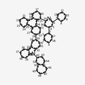 c1ccc(-c2cc(-c3ccccc3)nc(-c3cccc4c5ccccc5c5cc(-c6ccc7c(c6)c6ccccc6n7-c6ccc7ccccc7c6)ccc5c34)c2)cc1